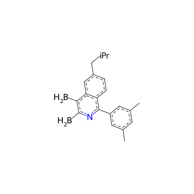 Bc1nc(-c2cc(C)cc(C)c2)c2ccc(CC(C)C)cc2c1B